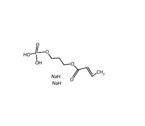 CC=CC(=O)OCCCOP(=O)(O)O.[NaH].[NaH]